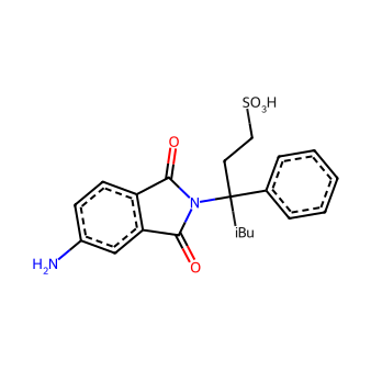 CCC(C)C(CCS(=O)(=O)O)(c1ccccc1)N1C(=O)c2ccc(N)cc2C1=O